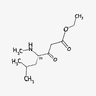 CCOC(=O)CC(=O)[C@H](CC(C)C)NC